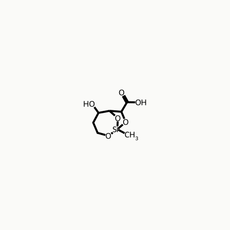 C[Si]12OCCC(O)C(O1)C(C(=O)O)O2